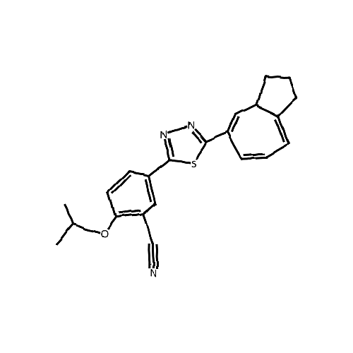 CC(C)Oc1ccc(-c2nnc(C3=CC4CCCC4=CC=C3)s2)cc1C#N